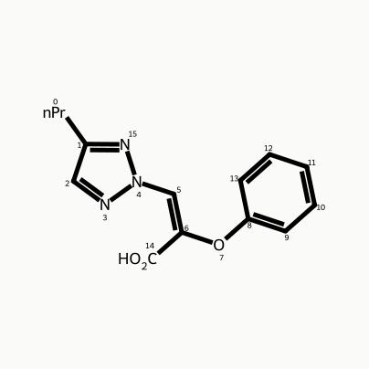 CCCc1cnn(C=C(Oc2ccccc2)C(=O)O)n1